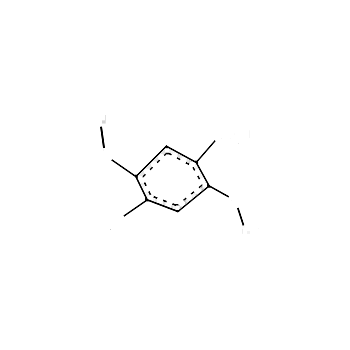 CCCOc1cc(C(=O)O)c(OCCC)cc1C(=O)O